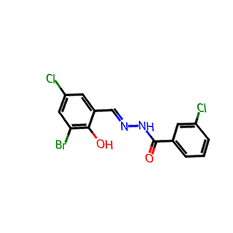 O=C(N/N=C/c1cc(Cl)cc(Br)c1O)c1cccc(Cl)c1